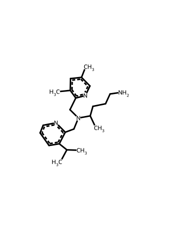 Cc1cnc(CN(Cc2ncccc2C(C)C)C(C)CCCN)c(C)c1